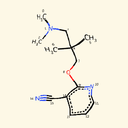 CN(C)CC(C)(C)COc1ncccc1C#N